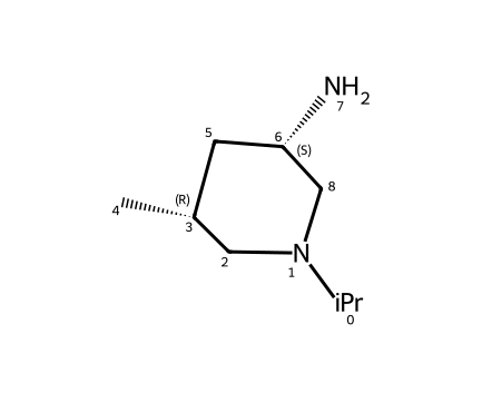 CC(C)N1C[C@H](C)C[C@H](N)C1